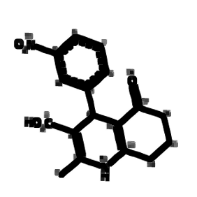 CC1=C(C(=O)O)C(c2cccc([N+](=O)[O-])c2)C2=C(CCCC2=O)N1